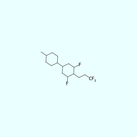 CC1CCC(C2CC(F)C(CCC(F)(F)F)C(F)C2)CC1